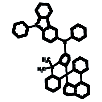 C[Si]1(C)c2ccccc2C2(c3ccccc3-c3cccc4cccc2c34)c2ccc(N(c3ccccc3)c3ccc4c(c3)c3ccccc3n4-c3ccccc3)cc21